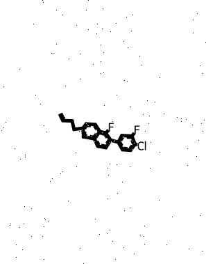 C=CCCc1ccc2c(F)c(-c3ccc(Cl)c(F)c3)ccc2c1